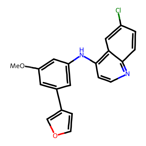 COc1cc(Nc2ccnc3ccc(Cl)cc23)cc(-c2ccoc2)c1